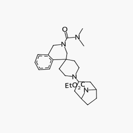 CCOC(=O)N1C2CCC1CC(N1CCC3(CC1)CN(C(=O)N(C)C)Cc1ccccc13)C2